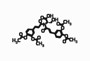 CC(=O)Oc1ccc(C=CC(=O)N(C(=O)C=Cc2ccc(OC(C)=O)c(OC(C)=O)c2)[C@@H](CO)C(=O)O)cc1OC(C)=O